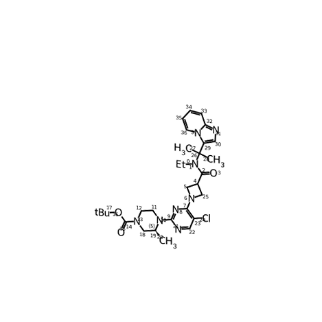 CCN(C(=O)C1CN(c2nc(N3CCN(C(=O)OC(C)(C)C)C[C@@H]3C)ncc2Cl)C1)C(C)(C)c1cnc2ccccn12